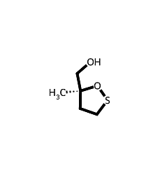 C[C@@]1(CO)CCSO1